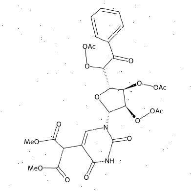 COC(=O)C(C(=O)OC)c1cn([C@@H]2O[C@H](C(OOC(C)=O)C(=O)c3ccccc3)[C@@H](OOC(C)=O)[C@H]2OOC(C)=O)c(=O)[nH]c1=O